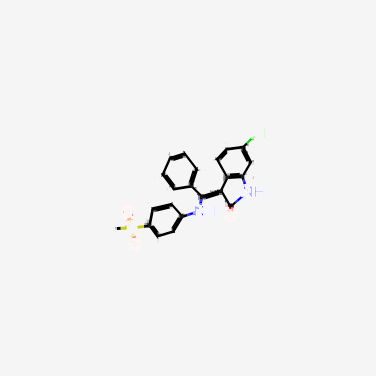 CS(=O)(=O)c1ccc(N/C(=C2\C(=O)Nc3cc(Cl)ccc32)c2ccccc2)cc1